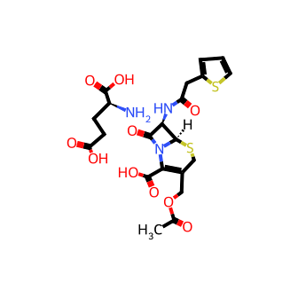 CC(=O)OCC1=C(C(=O)O)N2C(=O)[C@@H](NC(=O)Cc3cccs3)[C@H]2SC1.N[C@@H](CCC(=O)O)C(=O)O